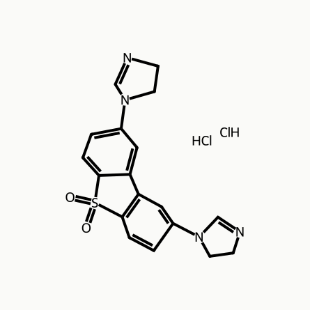 Cl.Cl.O=S1(=O)c2ccc(N3C=NCC3)cc2-c2cc(N3C=NCC3)ccc21